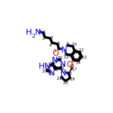 NCCCCCC(=O)N1CCc2cccc(OC[C@H]3CCCN3c3ncnc4[nH]cnc34)c2C1